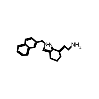 NC/C=C1\CCCc2cn(Cc3ccc4ccccc4c3)nc21